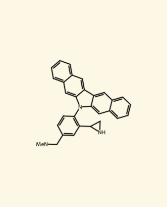 CNCc1ccc(-n2c3cc4ccccc4cc3c3cc4ccccc4cc32)c(C2CN2)c1